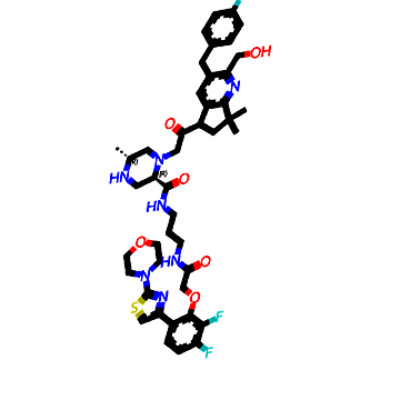 C[C@@H]1CN(CC(=O)C2CC(C)(C)c3nc(CO)c(Cc4ccc(F)cc4)cc32)[C@@H](C(=O)NCCCNC(=O)COc2c(-c3csc(N4CCOCC4)n3)ccc(F)c2F)CN1